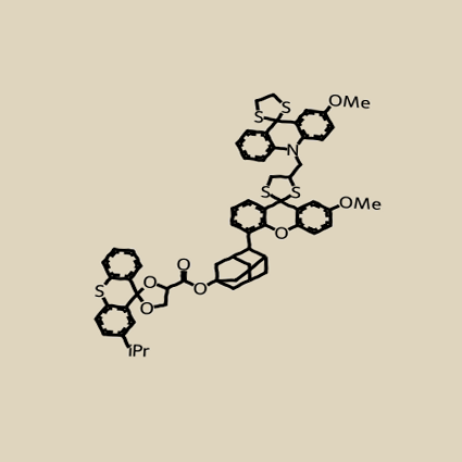 COc1ccc2c(c1)C1(SCC(CN3c4ccccc4C4(SCCS4)c4cc(OC)ccc43)S1)c1cccc(C3C4CC5CC3CC(OC(=O)C3COC6(O3)c3ccccc3Sc3ccc(C(C)C)cc36)(C5)C4)c1O2